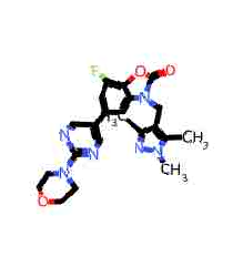 Cc1nn(C)c(C)c1Cn1c(=O)oc2c(F)cc(-c3cnc(N4CCOCC4)nc3)cc21